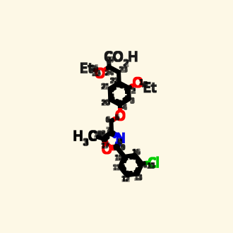 CCOc1cc(OCc2nc(-c3cccc(Cl)c3)oc2C)ccc1CC(OCC)C(=O)O